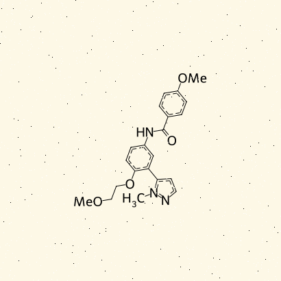 COCCOc1ccc(NC(=O)c2ccc(OC)cc2)cc1-c1ccnn1C